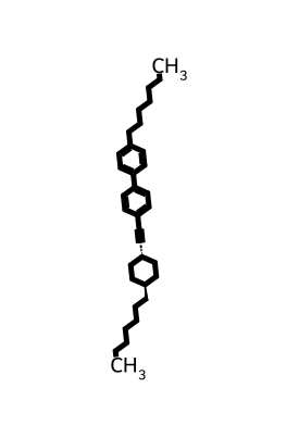 CCCCCCCc1ccc(-c2ccc(C#C[C@H]3CC[C@H](CCCCCCC)CC3)cc2)cc1